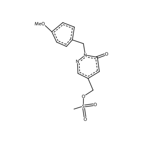 COc1ccc(Cn2ncc(COS(C)(=O)=O)cc2=O)cc1